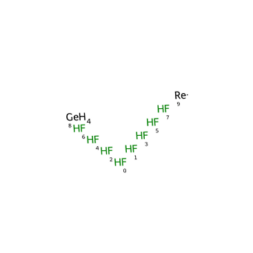 F.F.F.F.F.F.F.F.[GeH4].[Re]